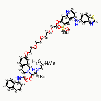 CN[C@@H](C)CN[C@H](C(=O)N1Cc2cc(OCCOCCOCCOCCOc3cc4nccc(Nc5ccc6scnc6c5)c4cc3S(=O)(=O)C(C)(C)C)ccc2C[C@H]1C(=O)N[C@H]1CCCc2ccccc21)C(C)(C)C